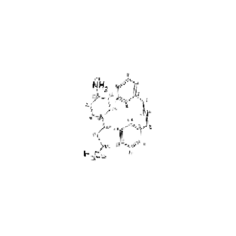 C(=[N+]=Cc1ccccc1)c1ccccc1.CCCCN1CCC(N)CC1